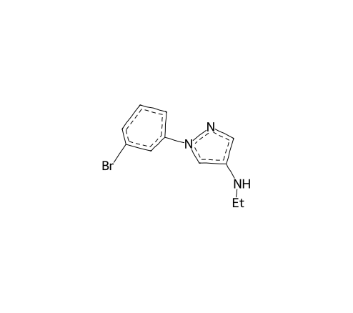 CCNc1cnn(-c2cccc(Br)c2)c1